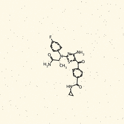 C[C@H](C(N)=O)N(c1ccc(F)cc1)c1nc(N)c(C(=O)c2ccc(C(=O)NC3CC3)cc2)s1